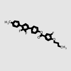 CCCCOc1ccc(C(=O)Oc2ccc(-c3ccc(-c4ccc(C)cc4)c(F)c3F)cc2)cc1F